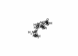 Nc1cc(N)c(S(=O)(=O)O)cc1/N=N/c1ccc(Nc2ccc(/N=N/c3c(S(=O)(=O)O)cc4cc(S(=O)(=O)O)c(/N=N/c5ccccc5)c(O)c4c3N)cc2S(=O)(=O)O)cc1